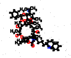 CC[C@H]1OC(=O)[C@H](C)C(=O)[C@H](C)[C@@H](OC2O[C@H](C)C[C@H](N(C)C)[C@H]2OC(=O)c2ccccc2)[C@@](C)(OC)C[C@@H](C)C(=O)[C@H](C)[C@H]2N(CCCCc3ccc4ccccc4n3)C(=O)O[C@]12CC